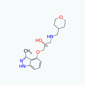 Cc1n[nH]c2cccc(OC[C@@H](O)CNCC3CCOCC3)c12